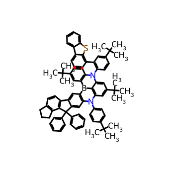 CC(C)(C)c1ccc(N2c3cc4c(cc3B3c5cc(C(C)(C)C)ccc5N(c5ccc(C(C)(C)C)cc5-c5cccc6c5sc5ccccc56)c5cc(C(C)(C)C)cc2c53)-c2ccc3c(c2C4(c2ccccc2)c2ccccc2)CCC3)cc1